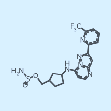 NS(=O)OCC1CCC(Nc2ccnc3cc(-c4cccc(C(F)(F)F)n4)nn23)C1